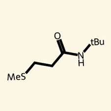 CSCCC(=O)NC(C)(C)C